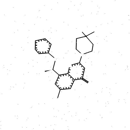 Cc1cc([C@@H](C)Nc2ccccc2)c2oc(N3CCC(C)(C)CC3)cc(=O)c2c1